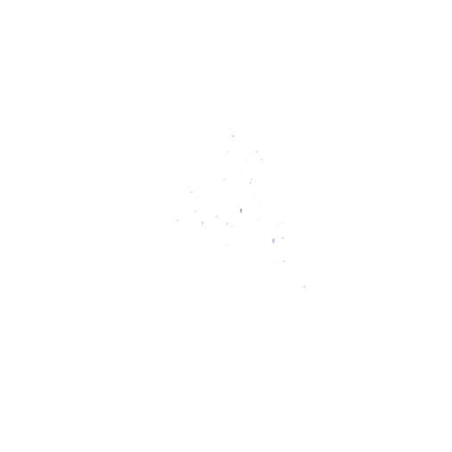 CC(=O)N(C(=O)C(O)CO)c1c(I)c(C(=O)NCC(O)CO)c(I)c(C(=O)NCC(O)CO)c1I